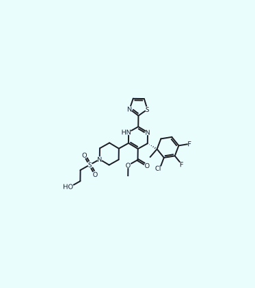 COC(=O)C1=C(C2CCN(S(=O)(=O)CCO)CC2)NC(c2nccs2)=N[C@@H]1C1(C)CC=C(F)C(F)=C1Cl